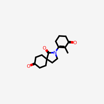 CC1=C(N2CCC3(CCC(=O)CC3)C2=O)CCCC1=O